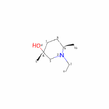 CCN1C[C@](C)(O)CC[C@H]1C